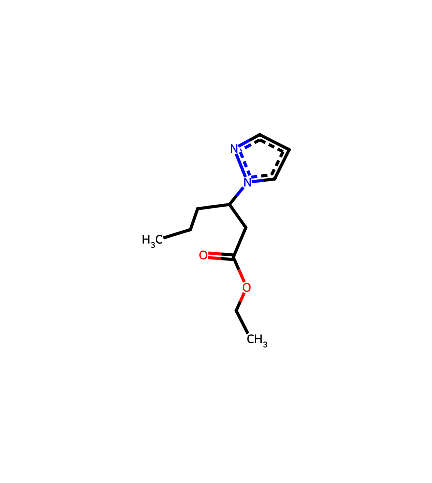 CCCC(CC(=O)OCC)n1cccn1